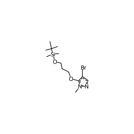 Cn1ncc(Br)c1OCCCO[Si](C)(C)C(C)(C)C